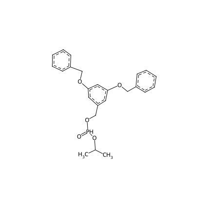 CC(C)O[PH](=O)OCc1cc(OCc2ccccc2)cc(OCc2ccccc2)c1